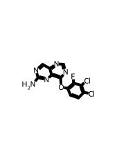 Nc1ncc2ncnc(Oc3ccc(Cl)c(Cl)c3F)c2n1